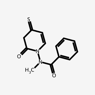 CN(C(=O)c1ccccc1)N1C=CC(=S)CC1=O